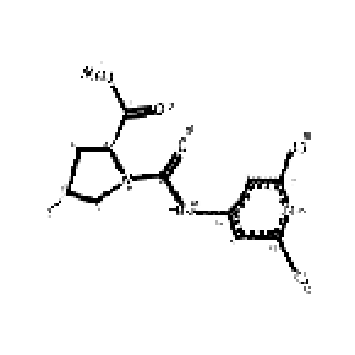 COC(=O)[C@@H]1C[C@@H](C)CN1C(=O)Nc1cc(Cl)nc(Cl)c1